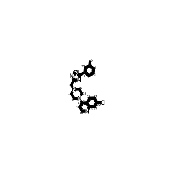 Cc1cccc(-c2nc(CN3CCN(c4ccnc5cc(Cl)ccc45)CC3)no2)c1